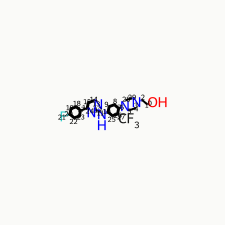 OCCN1CCN(c2ccc(Nc3nccc(-c4ccc(F)cc4)n3)cc2C(F)(F)F)CC1